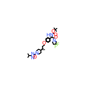 CC(C)c1noc(N2CCC([C@H](C)CCOc3ccc([C@H](NC(=O)OC(C)(C)C)C(=O)N4CCC(F)(F)C4)cc3)CC2)n1